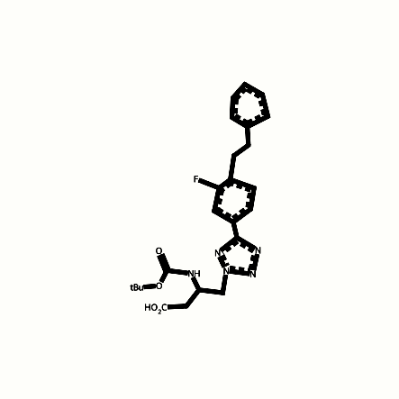 CC(C)(C)OC(=O)NC(CC(=O)O)Cn1nnc(-c2ccc(CCc3ccccc3)c(F)c2)n1